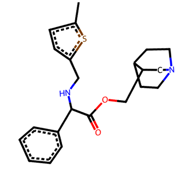 Cc1ccc(CNC(C(=O)OCC2CN3CCC2CC3)c2ccccc2)s1